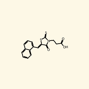 O=C(O)CCN1C(=O)/C(=C/c2cccc3ccccc23)SC1=S